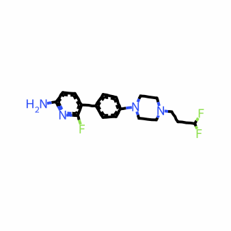 Nc1ccc(-c2ccc(N3CCN(CCC(F)F)CC3)cc2)c(F)n1